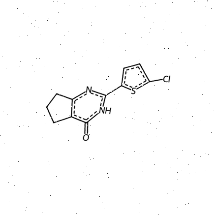 O=c1[nH]c(-c2ccc(Cl)s2)nc2c1CCC2